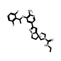 CCNC(=O)N1CC[C@@]2(CCn3nc(-c4cnc(N)c(OC(C)c5c(F)cccc5F)c4)cc32)C1